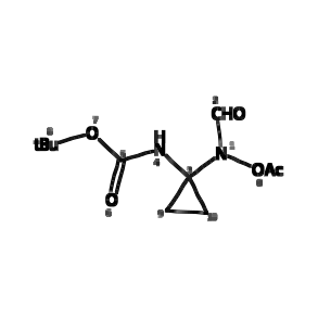 CC(=O)ON(C=O)C1(NC(=O)OC(C)(C)C)CC1